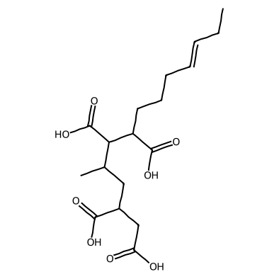 CCC=CCCCC(C(=O)O)C(C(=O)O)C(C)CC(CC(=O)O)C(=O)O